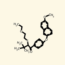 CCOCCSC(C(=O)c1ccc(Oc2ccc3cc(OC)ccc3c2)cc1)C(C)(C)C